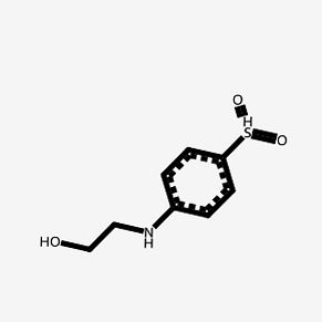 O=[SH](=O)c1ccc(NCCO)cc1